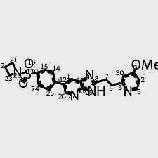 COc1ccnc(CCc2nc3cc(-c4ccc(S(=O)(=O)N5CCC5)cc4)cnc3[nH]2)c1